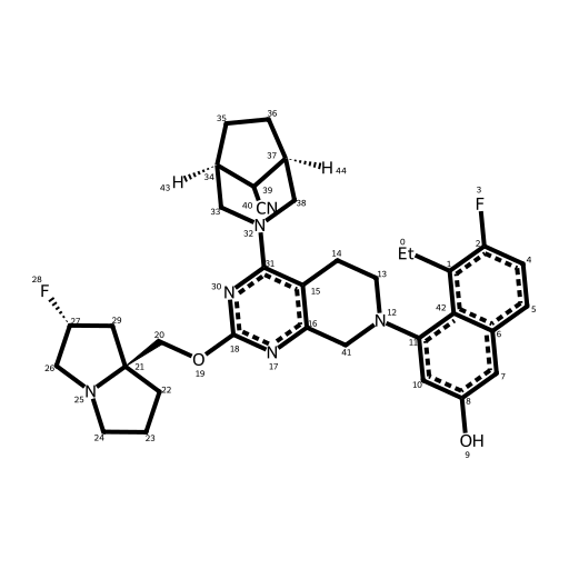 CCc1c(F)ccc2cc(O)cc(N3CCc4c(nc(OC[C@@]56CCCN5C[C@H](F)C6)nc4N4C[C@H]5CC[C@@H](C4)C5C#N)C3)c12